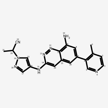 Cc1ccncc1-c1cc(N)c2nnc(Nc3cnn(C(C)C#N)c3)cc2c1